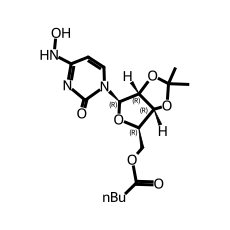 CCCCC(=O)OC[C@H]1O[C@@H](n2ccc(NO)nc2=O)[C@@H]2OC(C)(C)O[C@@H]21